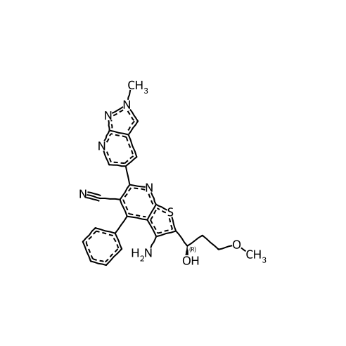 COCC[C@@H](O)c1sc2nc(-c3cnc4nn(C)cc4c3)c(C#N)c(-c3ccccc3)c2c1N